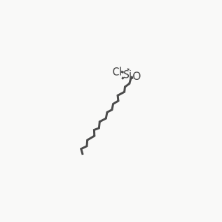 CCCCCCCCCCCCCCCCCC(=O)[Si](C)(C)Cl